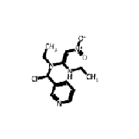 CCN/C(=C\[N+](=O)[O-])N(CC)C(Cl)c1cccnc1